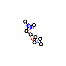 c1ccc(C2N=C(c3cccc4c3oc3cc(-c5cccc6c5oc5cccc(-n7c8ccccc8c8ccccc87)c56)ccc34)NC(c3ccccc3)N2)cc1